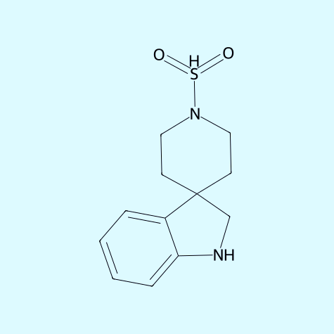 O=[SH](=O)N1CCC2(CC1)CNc1ccccc12